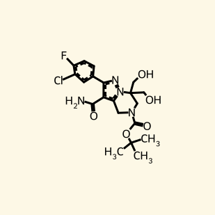 CC(C)(C)OC(=O)N1Cc2c(C(N)=O)c(-c3ccc(F)c(Cl)c3)nn2C(CO)(CO)C1